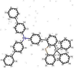 c1ccc(-c2ccc(N(c3ccc(-c4ccccc4)cc3)c3ccc(-c4cccc5c4Sc4ccccc4[Si]5(c4ccccc4)c4ccccc4)cc3)cc2)cc1